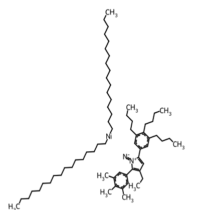 CCCCCCCCCCCCCCCC[CH2][Ni][CH2]CCCCCCCCCCCCCCCC.CCCCc1cc(C2=CC(CC)=C(c3cc(C)c(C)c(C)c3)[N+]2=[N-])cc(CCCC)c1CCCC